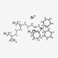 CC(C)CCC[C@@H](C)CCC[C@@H](C)C[P+](c1ccccc1)(c1ccccc1)c1ccccc1.[Br-]